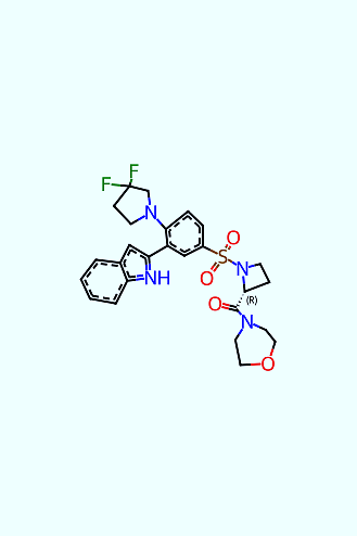 O=C([C@H]1CCN1S(=O)(=O)c1ccc(N2CCC(F)(F)C2)c(-c2cc3ccccc3[nH]2)c1)N1CCOCC1